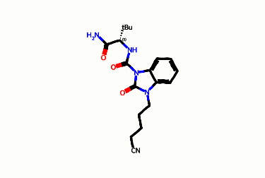 CC(C)(C)[C@H](NC(=O)n1c(=O)n(CCCCC#N)c2ccccc21)C(N)=O